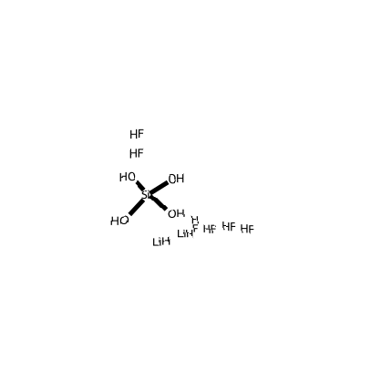 F.F.F.F.F.F.O[Si](O)(O)O.[LiH].[LiH]